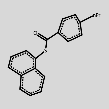 CCCc1ccc(C(=O)Sc2cccc3ccccc23)cc1